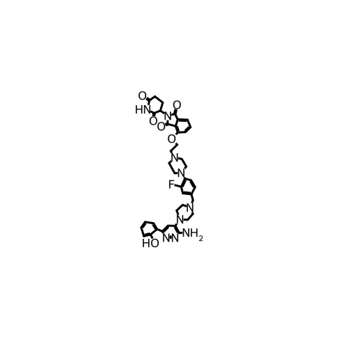 Nc1nnc(-c2ccccc2O)cc1N1CCN(Cc2ccc(N3CCN(CCOc4cccc5c4C(=O)N(C4CCC(=O)NC4=O)C5=O)CC3)c(F)c2)CC1